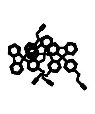 C#CCOc1ccc(C2(c3ccc(OCC#C)c(CC4(Cc5cc(OCC#C)ccc5C5(c6ccc(OCC#C)cc6)c6ccccc6-c6ccccc65)c5ccccc5-c5ccccc54)c3)c3ccccc3-c3ccccc32)cc1